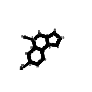 [O-][n+]1nc2nncn2c2ccc(Br)cc21